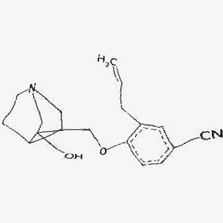 C=CCc1cc(C#N)ccc1OCC1(O)CN2CCC1CC2